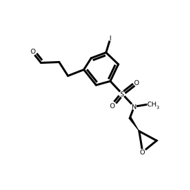 CN(C[C@H]1CO1)S(=O)(=O)c1cc(I)cc(CCC=O)c1